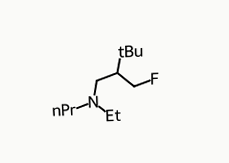 CCCN(CC)CC(CF)C(C)(C)C